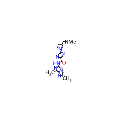 CNCC1CCN(c2cnc(C(=O)Nc3cn4cc(C)nc4c(C)n3)cn2)C1